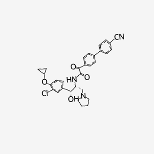 N#Cc1ccc(-c2ccc(C(=O)C(=O)N[C@H](CN3CCCC3)[C@H](O)c3ccc(OC4CC4)c(Cl)c3)cc2)cc1